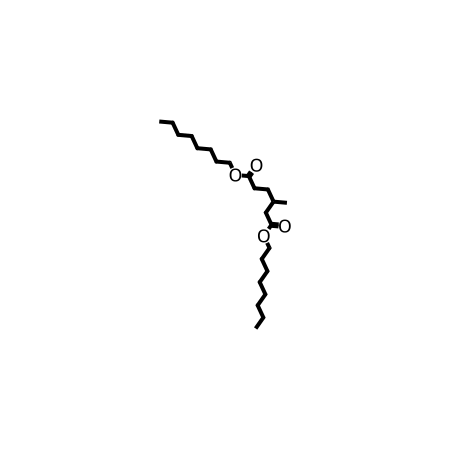 CCCCCCCCOC(=O)CCC(C)CC(=O)OCCCCCCCC